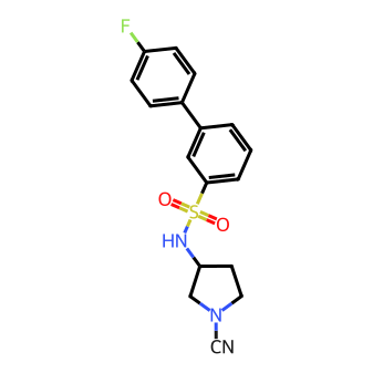 N#CN1CCC(NS(=O)(=O)c2cccc(-c3ccc(F)cc3)c2)C1